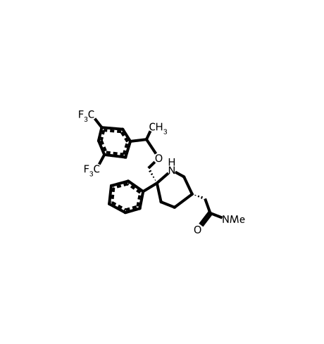 CNC(=O)C[C@@H]1CC[C@@](COC(C)c2cc(C(F)(F)F)cc(C(F)(F)F)c2)(c2ccccc2)NC1